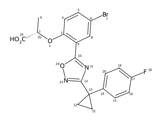 C[C@H](Oc1ccc(Br)cc1-c1nc(C2(c3ccc(F)cc3)CC2)no1)C(=O)O